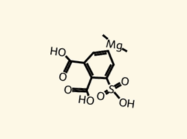 O=C(O)c1cccc(S(=O)(=O)O)c1C(=O)O.[CH3][Mg][CH3]